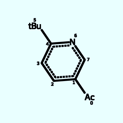 CC(=O)c1ccc(C(C)(C)C)nc1